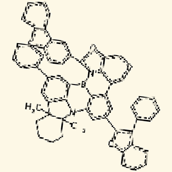 CC12CCCCC1(C)N1c3cc(-c4oc5ccccc5c4-c4ccccc4)cc4c3B(c3cc(-c5ccccc5)cc2c31)[n+]1c(-c2ccc3sc5ccccc5c3c2)oc2cccc-4c21